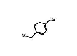 CC(C)(C)C1=CC=C(CC#N)CC1